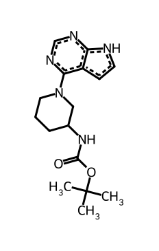 CC(C)(C)OC(=O)NC1CCCN(c2ncnc3[nH]ccc23)C1